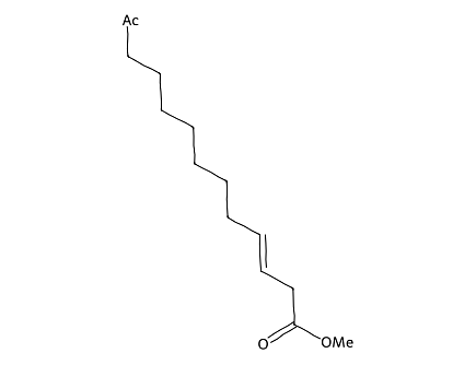 COC(=O)C/C=C/CCCCCCCC(C)=O